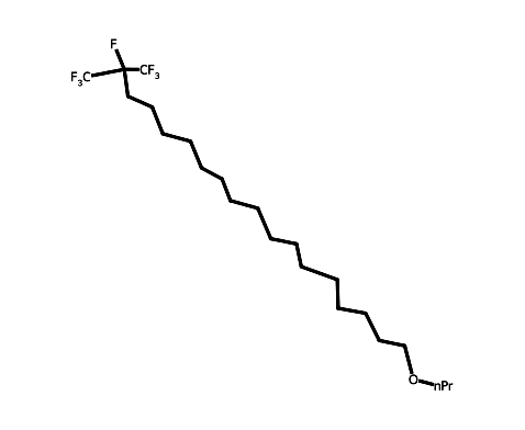 CCCOCCCCCCCCCCCCCCCCC(F)(C(F)(F)F)C(F)(F)F